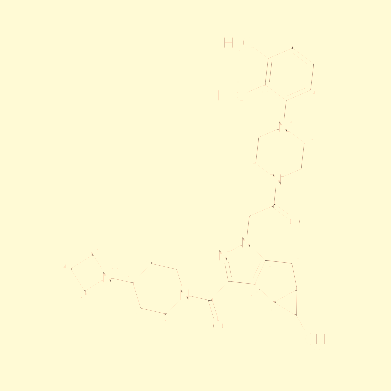 Cc1cccc(N2CCN(C(=O)Cn3nc(C(=O)N4CCC(N5CCC5)CC4)c4c3CC3C(C)C43)CC2)c1C